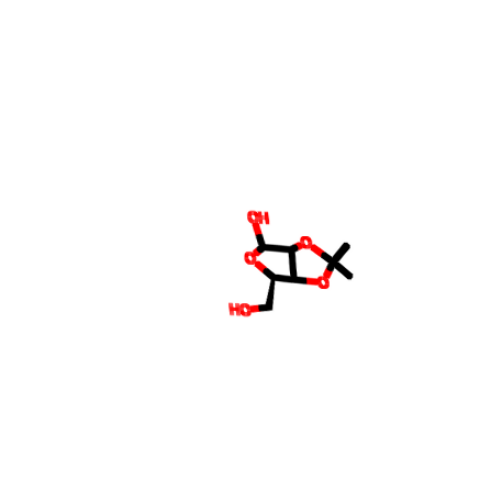 CC1(C)OC2C(O)O[C@H](CO)C2O1